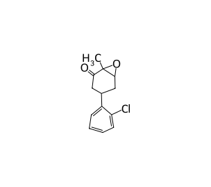 CC12OC1CC(c1ccccc1Cl)CC2=O